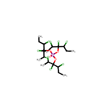 CCC(Cl)C(Cl)(OP(=O)(OC(Cl)(C(C)Cl)C(Cl)CC)OC(Cl)(C(C)Cl)C(Cl)CC)C(C)Cl